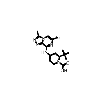 Cc1nnc2c(NC3CCN(C(=O)O)C(C(C)(C)C)C3)nc(Br)cn12